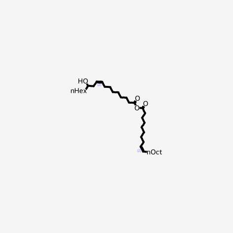 CCCCCCCC/C=C\CCCCCCCC(=O)OC(=O)CCCCCCC/C=C\CC(O)CCCCCC